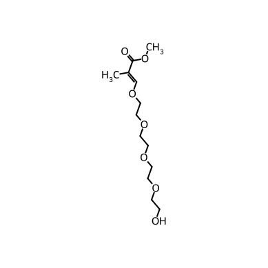 COC(=O)C(C)=COCCOCCOCCOCCO